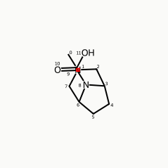 CN1CC2CCC(C1)N2C(=O)O